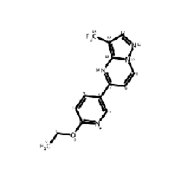 FC(F)(F)COc1ccc(-c2ccn3ncc(C(F)(F)F)c3n2)cn1